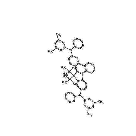 Cc1cc(C)cc(N(c2ccccc2)c2ccc3c(c2)C([Si](C)(C)C)([Si](C)(C)C)c2c-3c3ccccc3c3cc(N(c4ccccc4)c4cc(C)cc(C)c4)ccc23)c1